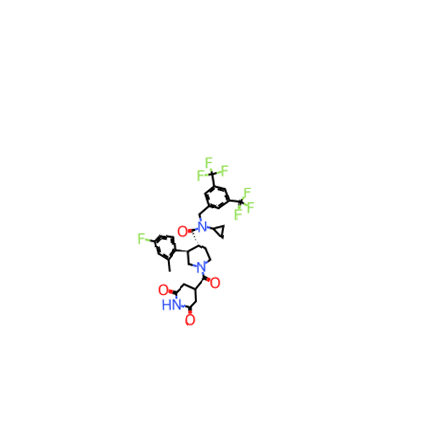 Cc1cc(F)ccc1[C@@H]1CN(C(=O)C2CC(=O)NC(=O)C2)CC[C@H]1C(=O)N(Cc1cc(C(F)(F)F)cc(C(F)(F)F)c1)C1CC1